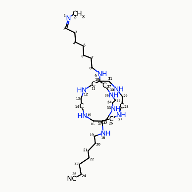 C/N=C\CCCCCCNC12CNCCNCC(NCCCCCCC#N)(CNCCNC1)CNCCNC2